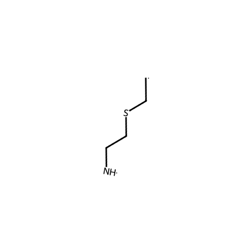 [CH2]CSCC[NH]